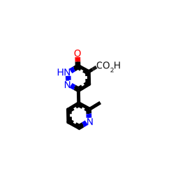 Cc1ncccc1-c1cc(C(=O)O)c(=O)[nH]n1